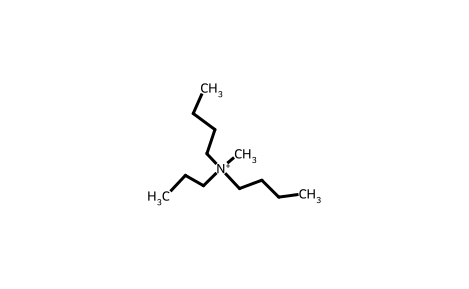 CCCC[N+](C)(CCC)CCCC